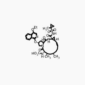 CCOc1cnc(O[C@@H]2C[C@H]3C(=O)N[C@]4(C(=O)NS(=O)(=O)C5(C)CC5)C[C@H]4C=CCC[C@@H](C)C[C@@H](C)[C@H](NC(=O)O)C(=O)N3C2)c2ccccc12